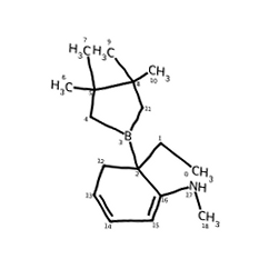 CCC1(B2CC(C)(C)C(C)(C)C2)CC=CC=C1NC